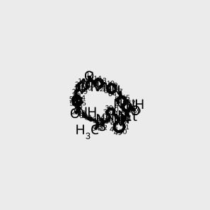 CCc1cc2ncc(CN3CCN(c4ccc(C(=O)N5CCN(CC67CCC(C(=O)NCC#Cc8nc(CN9CCCC9c9nnc%10n9CCCCC%10)sc8C)(CC6)CO7)CC5)nc4)CC3)cc2[nH]c1=O